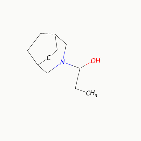 CCC(O)N1CC2CCC(CC2)C1